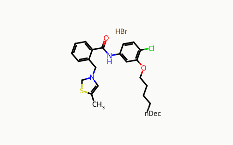 Br.CCCCCCCCCCCCCCOc1cc(NC(=O)c2ccccc2CN2C=C(C)SC2)ccc1Cl